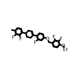 CCOc1ccc(COc2ccc(C3=CCC(c4ccc(C)c(F)c4F)CC3)c(F)c2)c(F)c1F